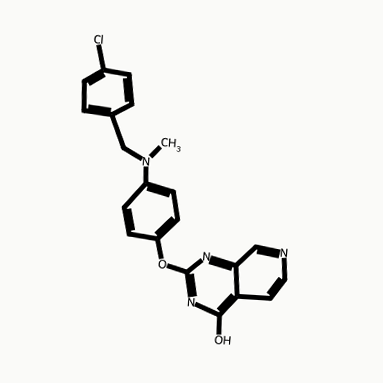 CN(Cc1ccc(Cl)cc1)c1ccc(Oc2nc(O)c3ccncc3n2)cc1